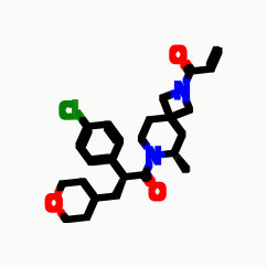 C=CC(=O)N1CC2(CCN(C(=O)[C@@H](CC3CCOCC3)c3ccc(Cl)cc3)[C@H](C)C2)C1